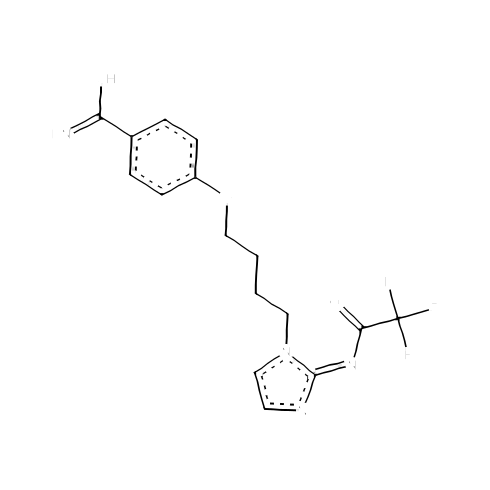 CC(=N)c1ccc(OCCCCn2cc[nH]/c2=N/C(=O)C(F)(F)F)cc1